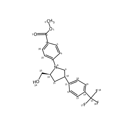 COC(=O)c1ccc(N2CC(c3ccc(C(F)(F)F)cc3)C[C@H]2CO)cc1